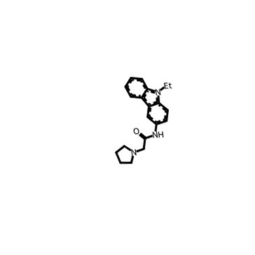 CCn1c2ccccc2c2cc(NC(=O)CN3CCCC3)ccc21